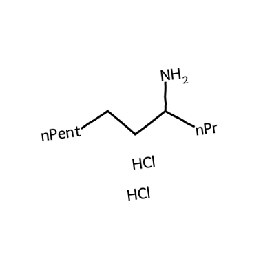 CCCCCCCC(N)CCC.Cl.Cl